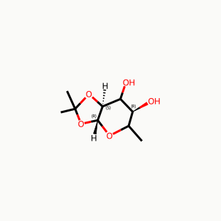 CC1O[C@@H]2OC(C)(C)O[C@H]2C(O)[C@H]1O